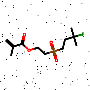 C=C(C)C(=O)OCCS(=O)(=O)CCC(C)(C)F